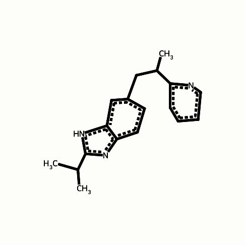 CC(C)c1nc2ccc(CC(C)c3ccccn3)cc2[nH]1